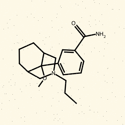 CCCN1CC2CCCC(C1)C2(OC)c1cccc(C(N)=O)c1